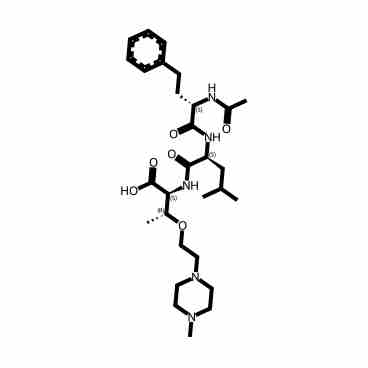 CC(=O)N[C@@H](CCc1ccccc1)C(=O)N[C@@H](CC(C)C)C(=O)N[C@H](C(=O)O)[C@@H](C)OCCN1CCN(C)CC1